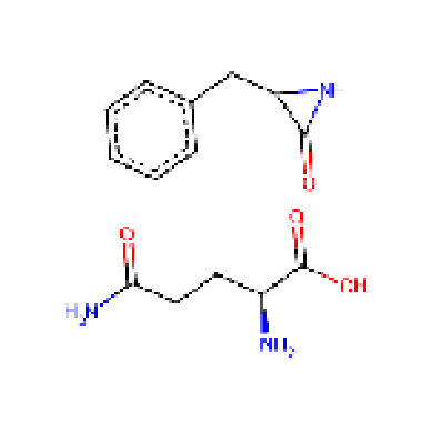 NC(=O)CC[C@H](N)C(=O)O.O=C1NC1Cc1ccccc1